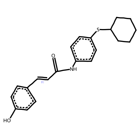 O=C(/C=C/c1ccc(O)cc1)Nc1ccc(SC2CCCCC2)cc1